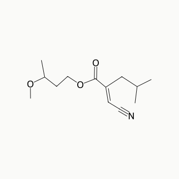 COC(C)CCOC(=O)C(=CC#N)CC(C)C